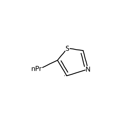 CCCc1[c]ncs1